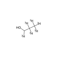 [2H]C(O)C([2H])([2H])C([2H])([2H])[2H]